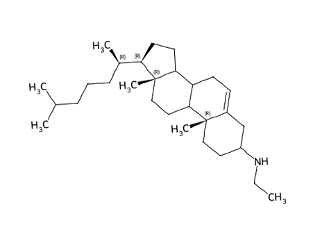 CCNC1CC[C@@]2(C)C(=CCC3C2CC[C@@]2(C)C3CC[C@@H]2[C@H](C)CCCC(C)C)C1